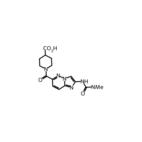 CNC(=O)Nc1cn2nc(C(=O)N3CCC(C(=O)O)CC3)ccc2n1